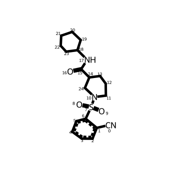 N#Cc1ccccc1S(=O)(=O)N1CCCC(C(=O)NC2CCCCC2)C1